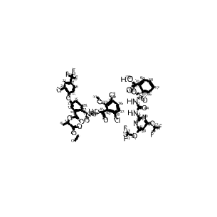 CCOC(=O)C(C)OC(=O)c1cc(Oc2ccc(C(F)(F)F)cc2Cl)ccc1[N+](=O)[O-].COc1c(Cl)ccc(Cl)c1C(=O)O.O=C(Nc1nc(OC(F)F)cc(OC(F)F)n1)NS(=O)(=O)c1ccccc1C(=O)O